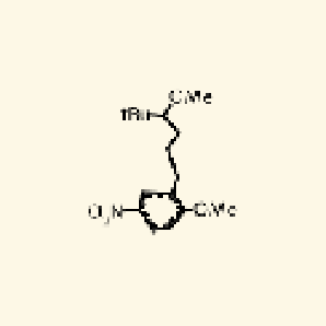 COc1c[c]c([N+](=O)[O-])cc1CCCC(OC)C(C)(C)C